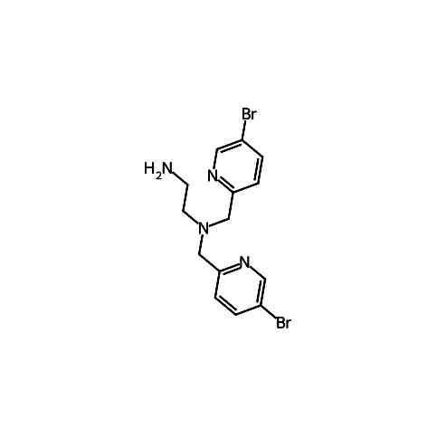 NCCN(Cc1ccc(Br)cn1)Cc1ccc(Br)cn1